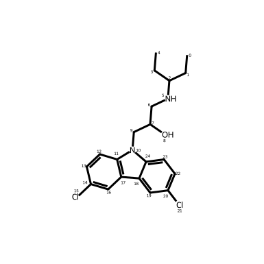 CCC(CC)NCC(O)Cn1c2ccc(Cl)cc2c2cc(Cl)ccc21